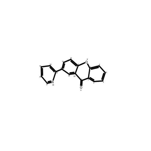 O=c1c2ccccc2oc2ccc(-c3ccccn3)cc12